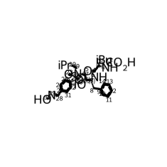 CC[C@H](C)[C@H](NC(=O)O)C(=O)N[C@@H](Cc1ccccc1)[C@@H](O)CN(CC(C)C)S(=O)(=O)c1ccc(C=NO)cc1